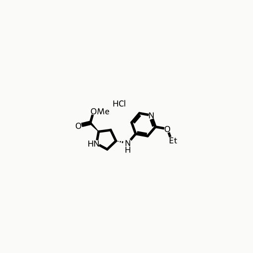 CCOc1cc(N[C@@H]2CN[C@@H](C(=O)OC)C2)ccn1.Cl